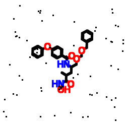 CC(CC(COCOCc1ccccc1)NC(=O)c1ccc(Oc2ccccc2)cc1)C(=O)NO